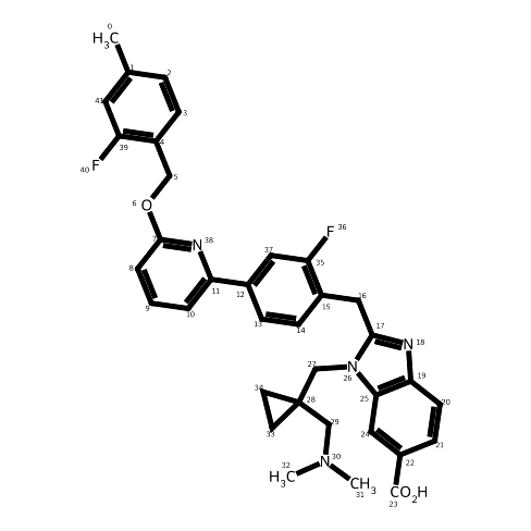 Cc1ccc(COc2cccc(-c3ccc(Cc4nc5ccc(C(=O)O)cc5n4CC4(CN(C)C)CC4)c(F)c3)n2)c(F)c1